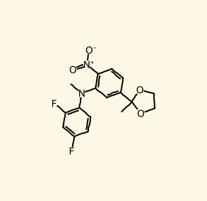 CN(c1ccc(F)cc1F)c1cc(C2(C)OCCO2)ccc1[N+](=O)[O-]